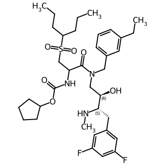 CCCC(CCC)S(=O)(=O)CC(NC(=O)OC1CCCC1)C(=O)N(Cc1cccc(CC)c1)C[C@@H](O)[C@H](Cc1cc(F)cc(F)c1)NC